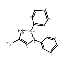 CCOC(=O)C1=NN(c2ccccc2)N(c2ccccc2)N1